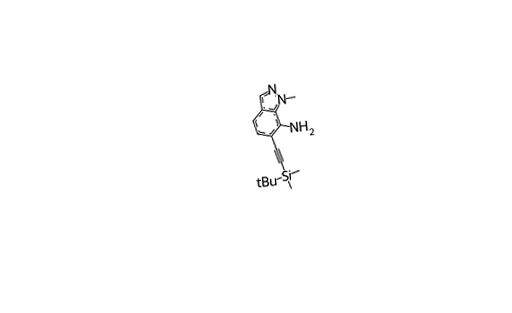 Cn1ncc2ccc(C#C[Si](C)(C)C(C)(C)C)c(N)c21